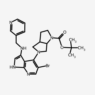 CC(C)(C)OC(=O)N1CCC2CN(c3c(Br)cnc4[nH]cc(NCc5cccnc5)c34)CC21